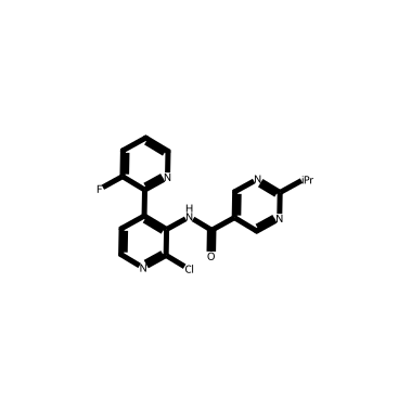 CC(C)c1ncc(C(=O)Nc2c(-c3ncccc3F)ccnc2Cl)cn1